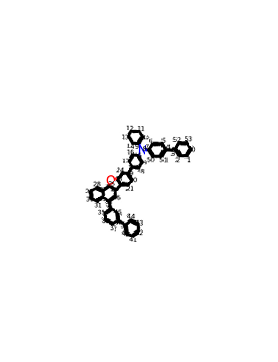 c1ccc(-c2ccc(N(c3ccccc3)c3ccc(-c4ccc5c(c4)oc4c6ccccc6c(-c6cccc(-c7ccccc7)c6)cc54)cc3)cc2)cc1